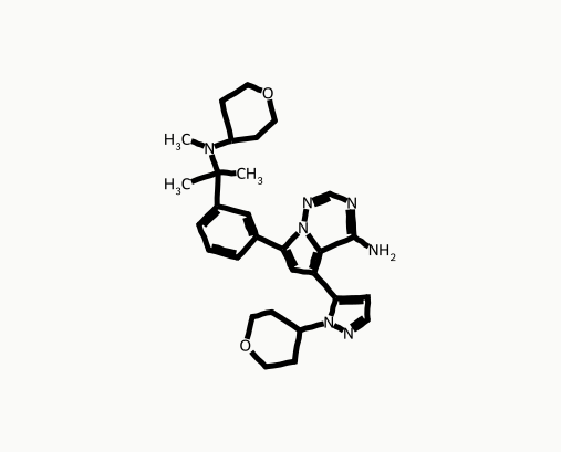 CN(C1CCOCC1)C(C)(C)c1cccc(-c2cc(-c3ccnn3C3CCOCC3)c3c(N)ncnn23)c1